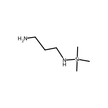 C[Si](C)(C)NCCCN